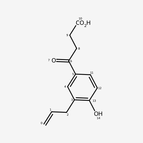 C=CCc1cc(C(=O)CCC(=O)O)ccc1O